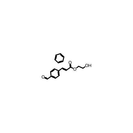 O=Cc1ccc(C=CC(=O)OCCO)cc1.c1ccccc1